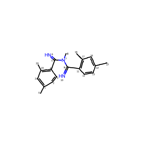 Cc1ccc(C(=N)N(C)C(=N)c2ccc(C)cc2C)c(C)c1